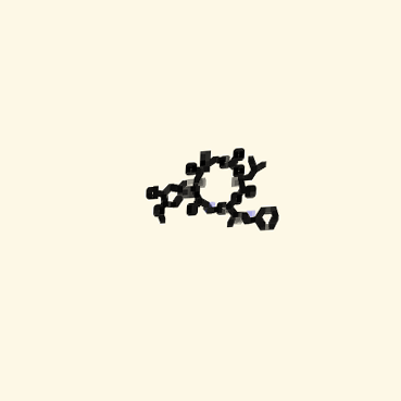 COc1ccc(C[C@H]2NC(=O)/C=C/C[C@@H]([C@H](C)/C=C/c3ccccc3)OC(=O)[C@H](CC(C)C)OC(=O)CCNC2=O)cc1Cl